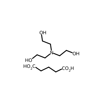 O=C(O)CCCC(=O)O.OCCN(CCO)CCO